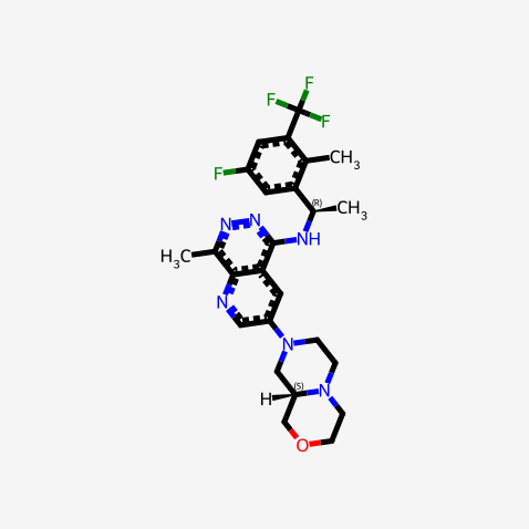 Cc1c([C@@H](C)Nc2nnc(C)c3ncc(N4CCN5CCOC[C@@H]5C4)cc23)cc(F)cc1C(F)(F)F